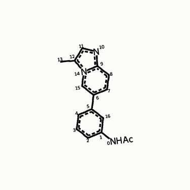 CC(=O)Nc1cccc(-c2ccc3ncc(C)n3c2)c1